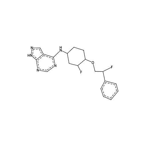 FC(COC1CCC(Nc2ncnc3[nH]ncc23)CC1F)c1ccccc1